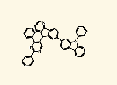 c1ccc(-c2ncc(C3c4cc(-c5ccc6c7ccccc7n(-c7ccccc7)c6c5)ccc4-c4ncccc43)c(-c3ccccc3)n2)cc1